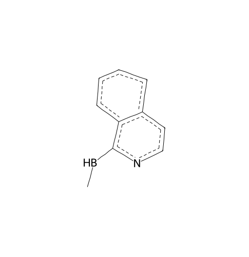 CBc1nccc2ccccc12